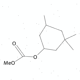 COC(=O)OC1CC(C)CC(C)(C)C1